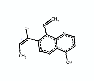 C=Nc1c(/C(O)=C\C)ccc2c(O)ccnc12